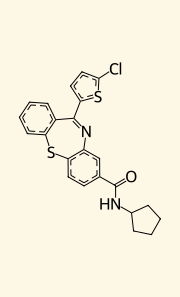 O=C(NC1CCCC1)c1ccc2c(c1)N=C(c1ccc(Cl)s1)c1ccccc1S2